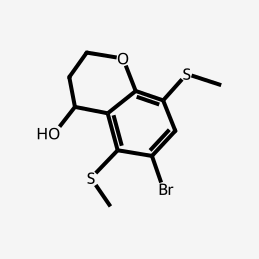 CSc1cc(Br)c(SC)c2c1OCCC2O